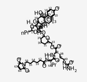 CCCC1O[C@@H]2CC3[C@@H]4CCC5=CC(=O)C=C[C@]5(C)[C@H]4[C@@H](O)C[C@]3(C)[C@]2(C(=O)COC2CCCC(COC(=O)[C@H](CCCNC(N)=O)NC(=O)[C@@H](NC(=O)CCCCCN3C(=O)C=CC3=O)C(C)C)O2)O1